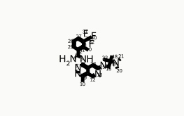 Cc1c([C@@H](N)Nc2nnc(C)c3cnc(N4CC(C)(N(C)C)C4)cc23)cccc1C(F)(F)F